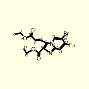 CCOC(=O)/C=C/c1c(C(=O)OCC)nc2cc(F)c(Br)cn12